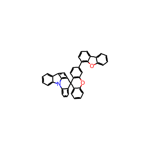 c1ccc2c(c1)Oc1cc(-c3cccc4c3oc3ccccc34)ccc1C21c2ccccc2-n2c3ccccc3c3cccc1c32